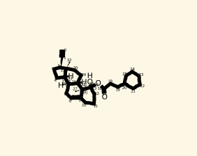 C#C[C@@H]1CC[C@H]2[C@@H]3CC=C4CCCC(O)(OC(=O)CCC5CCCCC5)[C@]4(C)[C@H]3CC[C@]12C